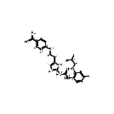 Cc1ccc(NC(=O)Nc2ncc(CCSc3ccc(C(=O)O)cn3)s2)c(OCC(C)C)c1